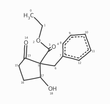 CCOC(=O)C1(Cc2ccccc2)C(=O)CCC1O